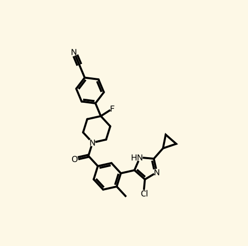 Cc1ccc(C(=O)N2CCC(F)(c3ccc(C#N)cc3)CC2)cc1-c1[nH]c(C2CC2)nc1Cl